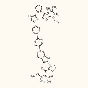 COC(=O)[C@@](N)(C(=O)N1CCC[C@H]1c1nc(-c2ccc(-c3cnc(-c4ccc5cc([C@@H]6CCCN6C(=O)[C@@H](C(=O)O)[C@@H](C)OC)[nH]c5c4)cn3)cc2)c[nH]1)C(C)C